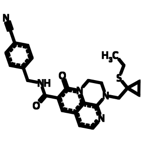 CCSC1(CN2CCn3c(=O)c(C(=O)NCc4ccc(C#N)cc4)cc4ccnc2c43)CC1